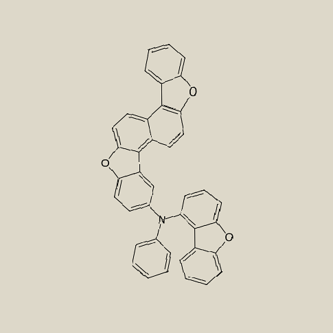 c1ccc(N(c2ccc3oc4ccc5c(ccc6oc7ccccc7c65)c4c3c2)c2cccc3oc4ccccc4c23)cc1